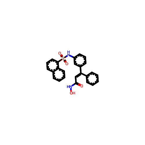 O=C(C=C(c1ccccc1)c1cccc(NS(=O)(=O)c2cccc3ccccc23)c1)NO